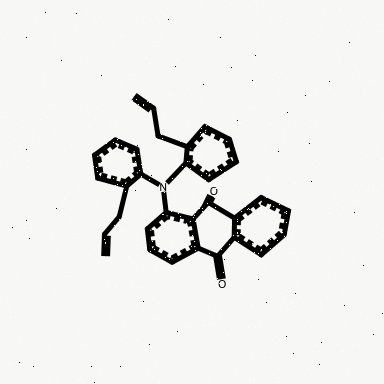 C=CCc1ccccc1N(c1ccccc1CC=C)c1cccc2c1C(=O)c1ccccc1C2=O